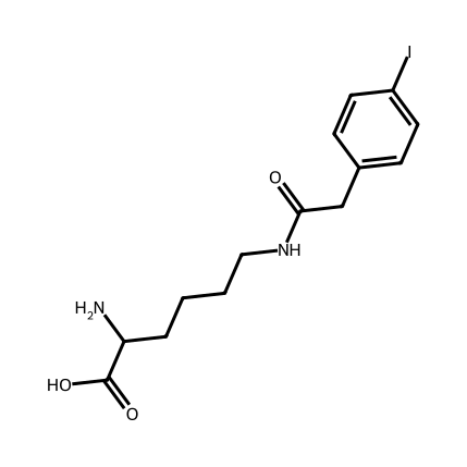 NC(CCCCNC(=O)Cc1ccc(I)cc1)C(=O)O